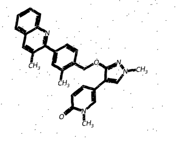 Cc1cc(-c2nc3ccccc3cc2C)ccc1COc1nn(C)cc1-c1ccc(=O)n(C)c1